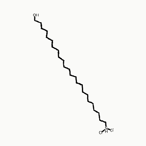 OCCCCCCCCCCCCCCCCCCCCCCCC[SiH](Cl)Cl